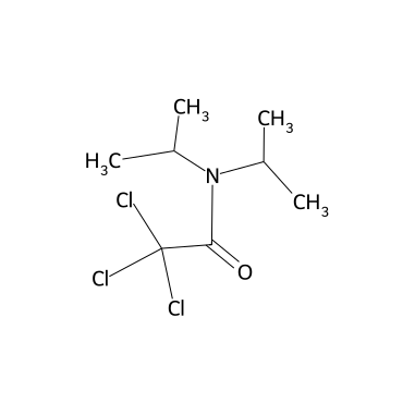 CC(C)N(C(=O)C(Cl)(Cl)Cl)C(C)C